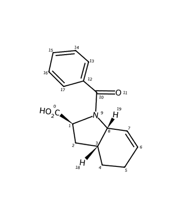 O=C(O)[C@@H]1C[C@H]2CCC=C[C@H]2N1C(=O)c1ccccc1